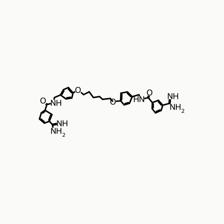 N=C(N)c1cccc(C(=O)NCc2ccc(OCCCCCCOc3ccc(CNC(=O)c4cccc(C(=N)N)c4)cc3)cc2)c1